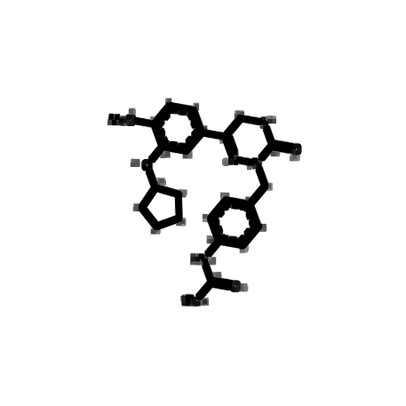 COc1ccc(C2=NN(Cc3ccc(NC(=O)C(C)(C)C)cc3)C(=O)SC2)cc1OC1CCCC1